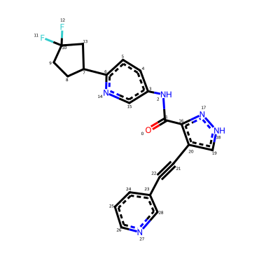 O=C(Nc1ccc(C2CCC(F)(F)C2)nc1)c1n[nH]cc1C#Cc1cccnc1